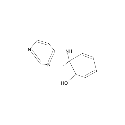 CC1(Nc2ccncn2)C=CC=CC1O